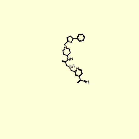 C=C(CNCc1cc(C(=C)C#N)ccn1)NC1CCN(CC2=CCC(c3ccccc3)C2)CC1